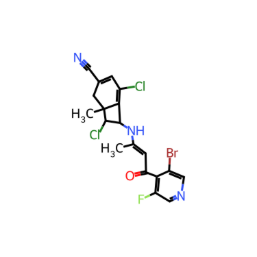 C/C(=C\C(=O)c1c(F)cncc1Br)NC1C2=C(Cl)C=C(C#N)CC2(C)C1Cl